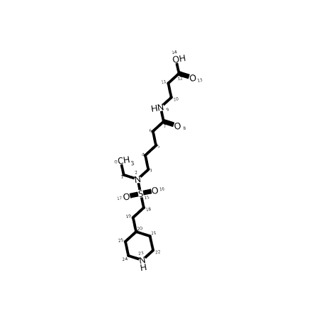 CCN(CCCCC(=O)NCCC(=O)O)S(=O)(=O)CCC1CCNCC1